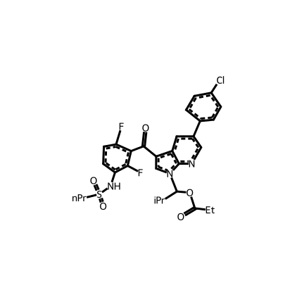 CCCS(=O)(=O)Nc1ccc(F)c(C(=O)c2cn(C(OC(=O)CC)C(C)C)c3ncc(-c4ccc(Cl)cc4)cc23)c1F